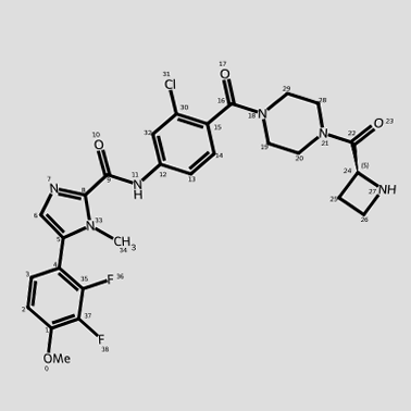 COc1ccc(-c2cnc(C(=O)Nc3ccc(C(=O)N4CCN(C(=O)[C@@H]5CCN5)CC4)c(Cl)c3)n2C)c(F)c1F